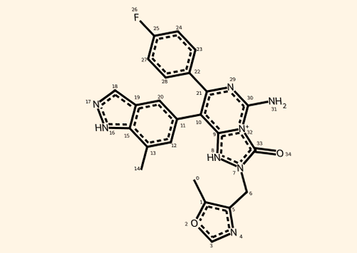 Cc1ocnc1Cn1[nH]c2c(-c3cc(C)c4[nH]ncc4c3)c(-c3ccc(F)cc3)nc(N)[n+]2c1=O